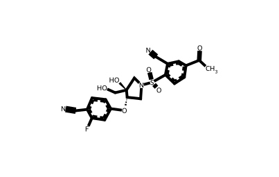 CC(=O)c1ccc(S(=O)(=O)N2C[C@H](Oc3ccc(C#N)c(F)c3)[C@](O)(CO)C2)c(C#N)c1